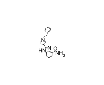 NC(=O)c1cccc2[nH]c(C3CCN(CCc4ccccc4)C3)nc12